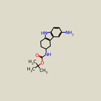 CC(C)(C)OC(=O)NC1CCc2[nH]c3ccc(N)cc3c2C1